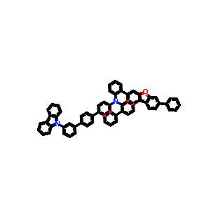 c1ccc(-c2ccc3c(c2)oc2cc(-c4ccccc4N(c4ccc(-c5ccc(-c6cccc(-n7c8ccccc8c8ccccc87)c6)cc5)cc4)c4ccccc4-c4ccccc4)ccc23)cc1